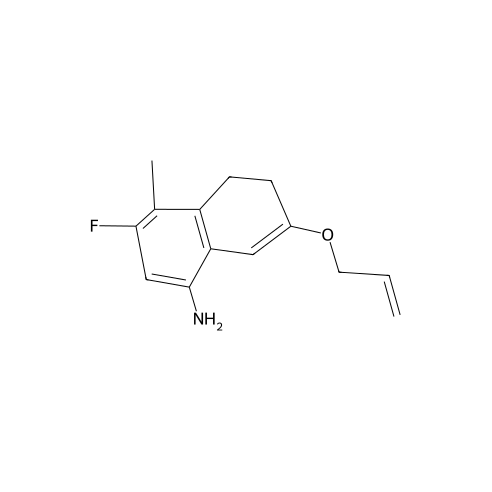 C=CCOC1=Cc2c(N)cc(F)c(C)c2CC1